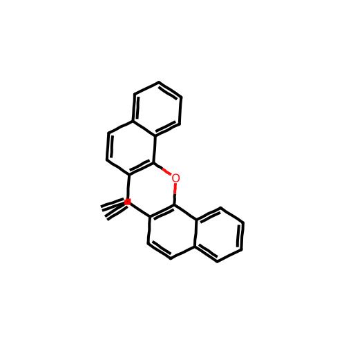 C=Cc1ccc2ccccc2c1Oc1c(C=C)ccc2ccccc12